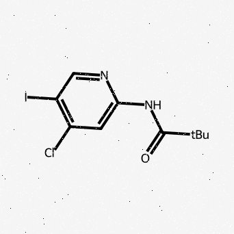 CC(C)(C)C(=O)Nc1cc(Cl)c(I)cn1